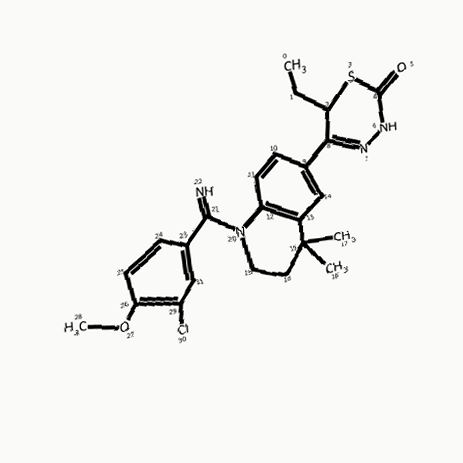 CCC1SC(=O)NN=C1c1ccc2c(c1)C(C)(C)CCN2C(=N)c1ccc(OC)c(Cl)c1